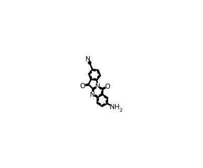 N#Cc1ccc2c(c1)C(=O)c1nc3ccc(N)cc3c(=O)n1-2